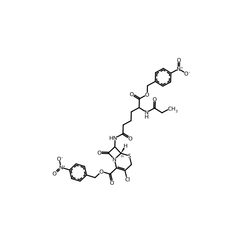 CCC(=O)NC(CCCC(=O)NC1C(=O)N2C(C(=O)OCc3ccc([N+](=O)[O-])cc3)=C(Cl)CS[C@@H]12)C(=O)OCc1ccc([N+](=O)[O-])cc1